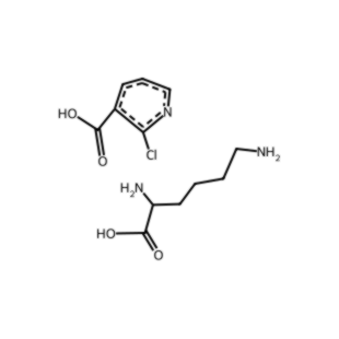 NCCCCC(N)C(=O)O.O=C(O)c1cccnc1Cl